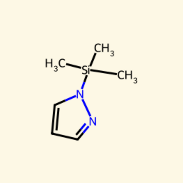 C[Si](C)(C)n1cccn1